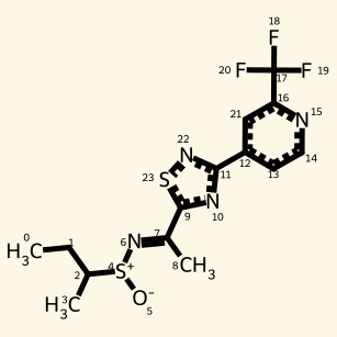 CCC(C)[S+]([O-])/N=C(\C)c1nc(-c2ccnc(C(F)(F)F)c2)ns1